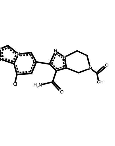 NC(=O)c1c(-c2cc(Cl)c3nncn3c2)nn2c1CN(C(=O)O)CC2